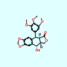 COc1cc(C2c3cc4c(cc3[C@@H](O)[C@H]3COC(=O)[C@H]23)OCO4)cc(OC)c1OC